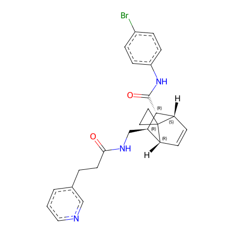 O=C(CCc1cccnc1)NC[C@H]1[C@H](C(=O)Nc2ccc(Br)cc2)[C@@H]2C=C[C@H]1C21CC1